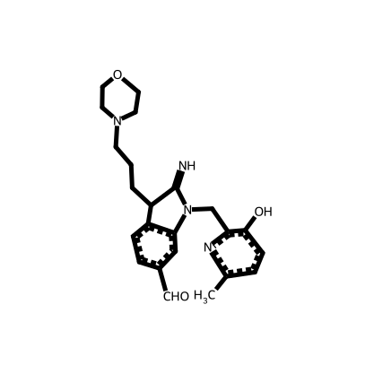 Cc1ccc(O)c(CN2C(=N)C(CCCN3CCOCC3)c3ccc(C=O)cc32)n1